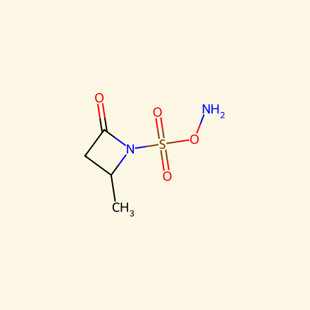 CC1CC(=O)N1S(=O)(=O)ON